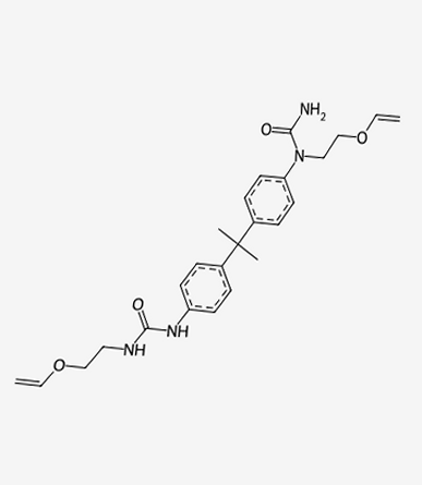 C=COCCNC(=O)Nc1ccc(C(C)(C)c2ccc(N(CCOC=C)C(N)=O)cc2)cc1